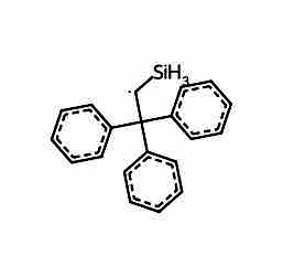 [SiH3][CH]C(c1ccccc1)(c1ccccc1)c1ccccc1